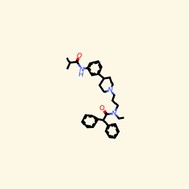 CCN(CCCN1CCC(c2cccc(NC(=O)C(C)C)c2)CC1)C(=O)C(c1ccccc1)c1ccccc1